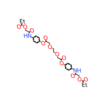 CCC(=O)OCC(=O)Nc1ccc(OC(=O)COCCOCC(=O)Oc2ccc(NC(=O)COC(=O)CC)cc2)cc1